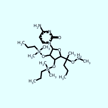 CCCC(C)(O[SiH2]C)C1OC(n2ccc(N)nc2=O)C(O[Si](C)(C)CCC)C1O[Si](C)(C)CCC